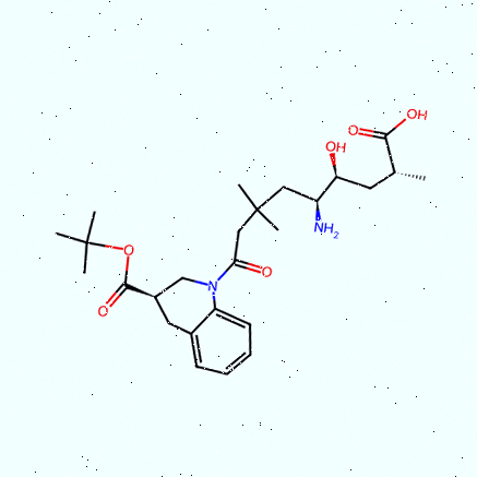 C[C@H](C[C@H](O)[C@@H](N)CC(C)(C)CC(=O)N1C[C@H](C(=O)OC(C)(C)C)Cc2ccccc21)C(=O)O